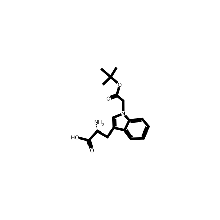 CC(C)(C)OC(=O)Cn1cc(C[C@@H](N)C(=O)O)c2ccccc21